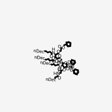 CCCCCCCCCCCCCC(=O)N[C@H]1[C@H](OC[C@H]2O[C@H](OCC(=O)OCc3ccccc3)[C@H](NC(=O)CCCCCCCCCCCCC)[C@@H](OC(=O)CCCCCCCCCCCCC)[C@@H]2O)O[C@H](CO)[C@@H](OP(=O)(Oc2ccccc2)Oc2ccccc2)[C@@H]1OC(=O)CNC(=O)CCCCCCCCCCC